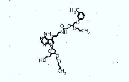 C=CCOCOC1CC(n2cc(/C=C/CNC(=O)COC(COc3cccc(C)c3)OCC=C)c3c(N)ncnc32)OC1CCO